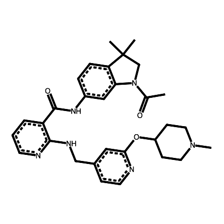 CC(=O)N1CC(C)(C)c2ccc(NC(=O)c3cccnc3NCc3ccnc(OC4CCN(C)CC4)c3)cc21